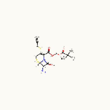 C#CCSC1=C(C(=O)OCOC(=O)C(C)(C)C)N2C(=O)[C@@H](N)[C@@H]2SC1